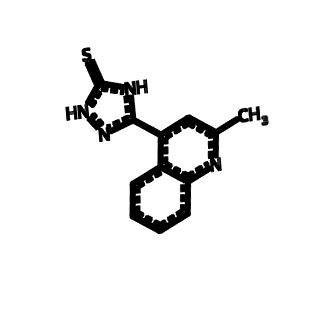 Cc1cc(-c2n[nH]c(=S)[nH]2)c2ccccc2n1